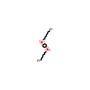 CC(C)CCCCCCCCOC(=O)OC1CCC(OC(=O)OCCCCCCCC(C)C)CC1